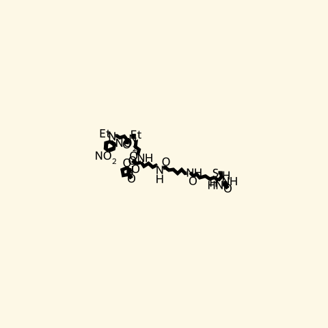 CCN(CCCC(=O)NC(CCCCNC(=O)CCCCCNC(=O)CCCCC1SC[C@@H]2NC(=O)N[C@H]12)C(=O)ON1C(=O)CCC1=O)C(=O)CCCN(CC)c1ccc([N+](=O)[O-])cc1[N+](=O)[O-]